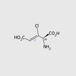 N[C@H](C(=O)O)/C(Cl)=C/C(=O)O